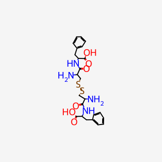 NC(CSSCC(N)C(=O)NC(Cc1ccccc1)C(=O)O)C(=O)NC(Cc1ccccc1)C(=O)O